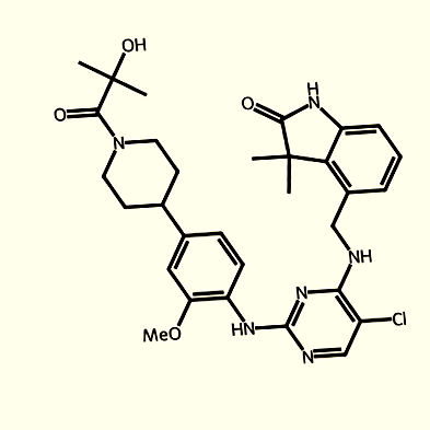 COc1cc(C2CCN(C(=O)C(C)(C)O)CC2)ccc1Nc1ncc(Cl)c(NCc2cccc3c2C(C)(C)C(=O)N3)n1